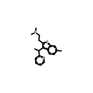 Cc1ccc2c(C(C)c3ccccn3)c(CCN(C)C)sc2c1